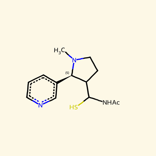 CC(=O)NC(S)C1CCN(C)[C@@H]1c1cccnc1